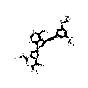 C=CC(=O)N1C[C@@H](n2cc(C#Cc3cc(OC)cc(OCC)c3)c3c(N)ncnc32)C[C@H]1C(=O)OC